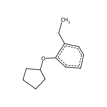 C[CH]c1ccccc1OC1CCCC1